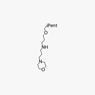 CCCC(C)COCCCNCCCN1CCOCC1